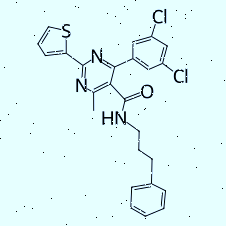 Cc1nc(-c2cccs2)nc(-c2cc(Cl)cc(Cl)c2)c1C(=O)NCCCc1ccccc1